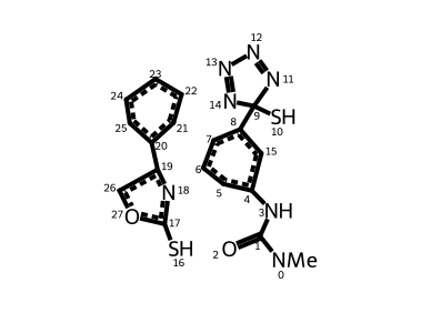 CNC(=O)Nc1cccc(C2(S)N=NN=N2)c1.Sc1nc(-c2ccccc2)co1